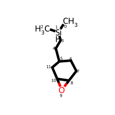 C[SiH](C)CCC1CCC2OC2C1